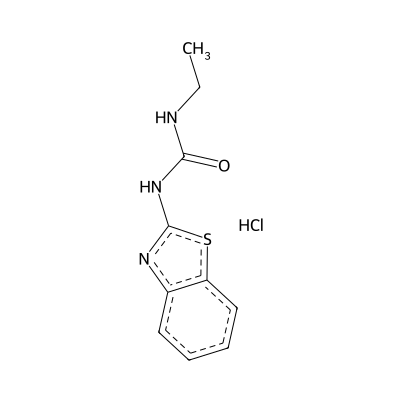 CCNC(=O)Nc1nc2ccccc2s1.Cl